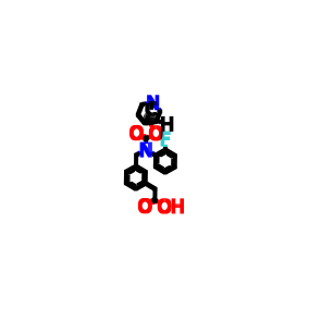 O=C(O)Cc1cccc(CN(C(=O)O[C@H]2CN3CCC2CC3)c2ccccc2F)c1